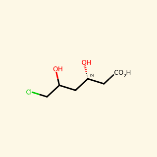 O=C(O)C[C@@H](O)CC(O)CCl